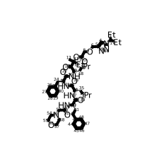 CCC(CC)n1cc(COCC(=O)OC(C)(CC)C(=O)[C@H](CC(C)C)NC(=O)[C@H](Cc2ccccc2)NC(=O)[C@H](CC(C)C)NC(=O)[C@H](CCc2ccccc2)NC(=O)CN2CCOCC2)nn1